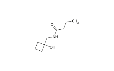 CCCC(=O)NCC1(O)CCC1